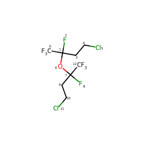 FC(F)(F)C(F)(CCCl)OC(F)(CCCl)C(F)(F)F